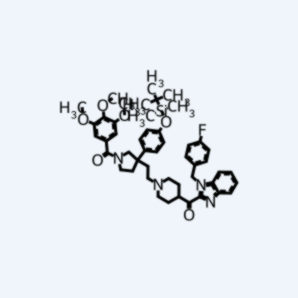 COc1cc(C(=O)N2CCC(CCN3CCC(C(=O)c4nc5ccccc5n4Cc4ccc(F)cc4)CC3)(c3ccc(O[Si](C)(C)C(C)(C)C)cc3)C2)cc(OC)c1OC